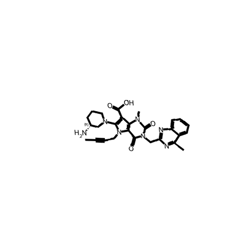 CC#CCn1c(N2CCC[C@@H](N)C2)c(C(=O)O)c2c1c(=O)n(Cc1nc(C)c3ccccc3n1)c(=O)n2C